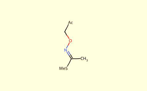 CSC(C)=NOCC(C)=O